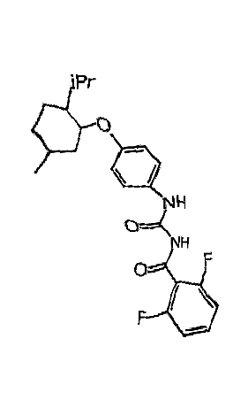 CC1CCC(C(C)C)C(Oc2ccc(NC(=O)NC(=O)c3c(F)cccc3F)cc2)C1